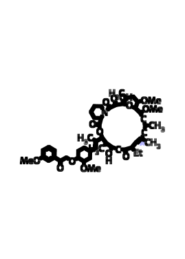 CCC1/C=C(\C)CC(C)CC(OC)C2OC(O)(C(=O)C(=O)N3CCCCC3C(=O)OC(C(C)=CC3CCC(OCC(=O)c4cccc(OC)c4)C(OC)C3)C(C)C(O)CC1=O)C(C)CC2OC